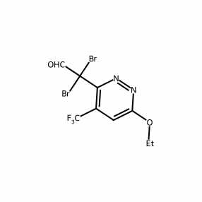 CCOc1cc(C(F)(F)F)c(C(Br)(Br)C=O)nn1